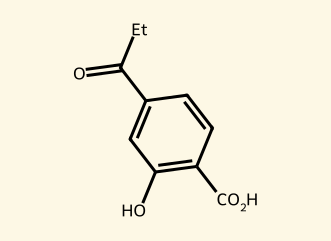 CCC(=O)c1ccc(C(=O)O)c(O)c1